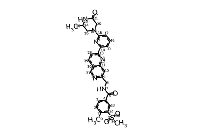 Cc1ccc(C(=O)NCc2cc3nc(-c4cccc(N5CC(=O)NC(C)C5)n4)ccc3cn2)cc1S(C)(=O)=O